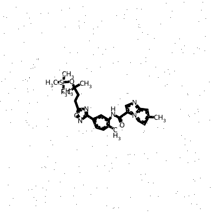 Cc1ccn2c(C(=O)Nc3cc(-c4noc(CCC(C)(O[Si](C)(C)C)C(F)(F)F)n4)ccc3C)cnc2c1